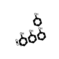 C=O.Oc1ccccc1.Oc1ccccc1.Oc1ccccc1.Oc1ccccc1